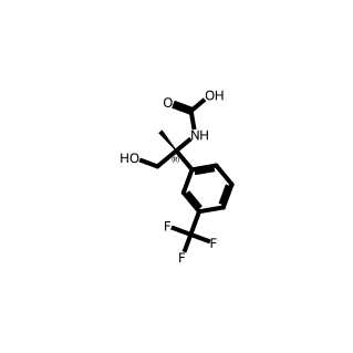 C[C@@](CO)(NC(=O)O)c1cccc(C(F)(F)F)c1